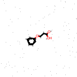 [O]C(O)CCOc1ccccc1